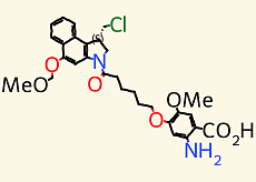 COCOc1cc2c(c3ccccc13)[C@H](CCl)CN2C(=O)CCCCCOc1cc(N)c(C(=O)O)cc1OC